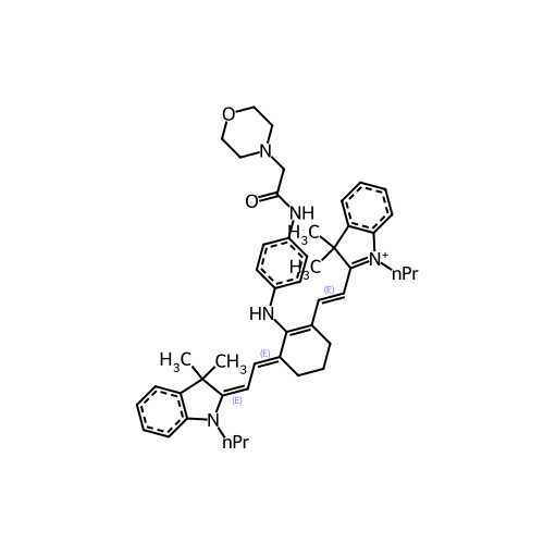 CCCN1/C(=C/C=C2\CCCC(/C=C/C3=[N+](CCC)c4ccccc4C3(C)C)=C2Nc2ccc(NC(=O)CN3CCOCC3)cc2)C(C)(C)c2ccccc21